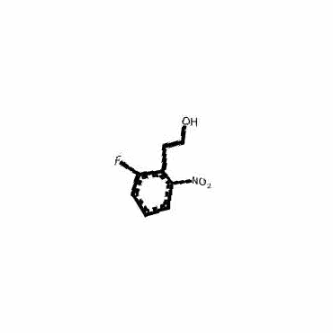 O=[N+]([O-])c1cccc(F)c1CCO